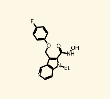 CCn1c(C(=O)NO)c(COc2ccc(F)cc2)c2cnccc21